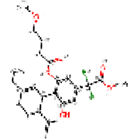 C=C(C)C1CCC(COC(C)=O)=CC1c1c(O)cc(C(F)(F)C(=O)OCCC)cc1OC(=O)CCCO[N+](=O)[O-]